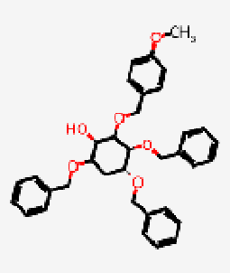 COc1ccc(COC2[C@H](O)C(OCc3ccccc3)C[C@@H](OCc3ccccc3)[C@@H]2OCc2ccccc2)cc1